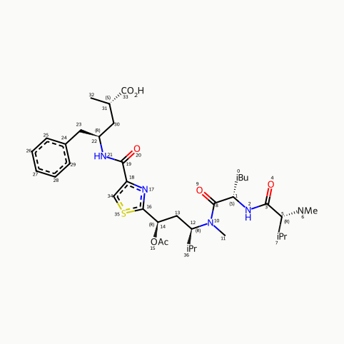 CCC(C)[C@H](NC(=O)[C@H](NC)C(C)C)C(=O)N(C)[C@H](C[C@@H](OC(C)=O)c1nc(C(=O)N[C@@H](Cc2ccccc2)C[C@H](C)C(=O)O)cs1)C(C)C